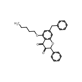 CCCCCOc1cc(Cc2ccccc2)cc2c1C(=O)C(=O)C(c1ccccc1)O2